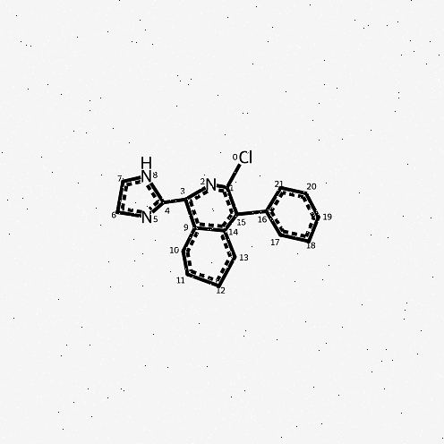 Clc1nc(-c2ncc[nH]2)c2ccccc2c1-c1ccccc1